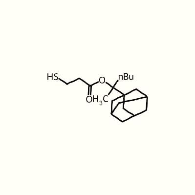 CCCCC(C)(OC(=O)CCS)C12CC3CC(CC(C3)C1)C2